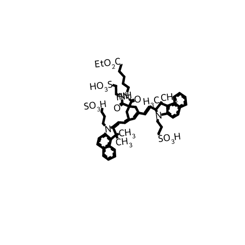 CCOC(=O)CCCCCNC(=O)C1(C(=O)NCCS(=O)(=O)O)CC(/C=C/C2N(CCCS(=O)(=O)O)c3ccc4ccccc4c3C2(C)C)=CC(=C/C=C2/N(CCCS(=O)(=O)O)c3ccc4ccccc4c3C2(C)C)/C1